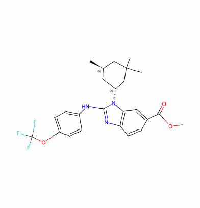 COC(=O)c1ccc2nc(Nc3ccc(OC(F)(F)F)cc3)n([C@@H]3C[C@@H](C)CC(C)(C)C3)c2c1